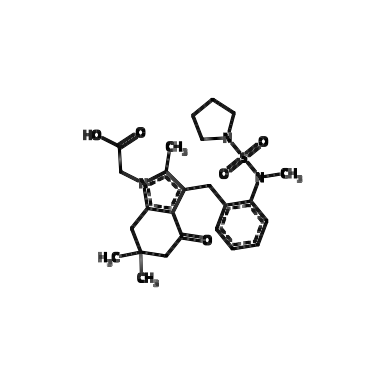 Cc1c(Cc2ccccc2N(C)S(=O)(=O)N2CCCC2)c2c(n1CC(=O)O)CC(C)(C)CC2=O